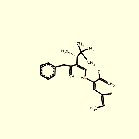 C=C(F)/C(=C\C(F)=C/C)N/C=C(\C(=N)Cc1ccccc1)[C@H](N)C(C)(C)C